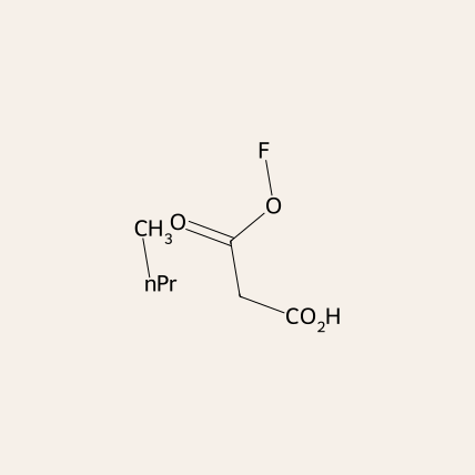 CCCC.O=C(O)CC(=O)OF